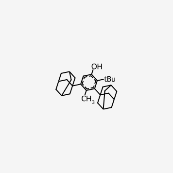 Cc1c(C23CC4CC(CC(C4)C2)C3)cc(O)c(C(C)(C)C)c1C12CC3CC(CC(C3)C1)C2